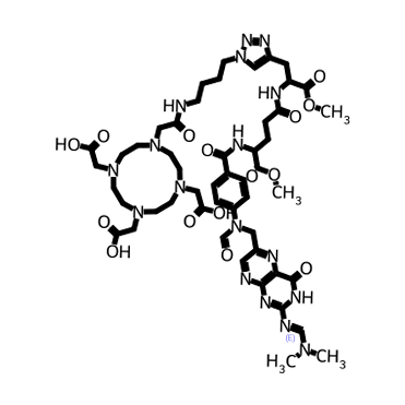 COC(=O)C(Cc1cn(CCCCNC(=O)CN2CCN(CC(=O)O)CCN(CC(=O)O)CCN(CC(=O)O)CC2)nn1)NC(=O)CCC(NC(=O)c1ccc(N(C=O)Cc2cnc3nc(/N=C/N(C)C)[nH]c(=O)c3n2)cc1)C(=O)OC